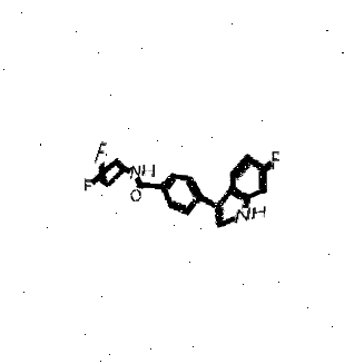 O=C(NC1CC(F)(F)C1)c1ccc(-c2c[nH]c3cc(F)ccc23)cc1